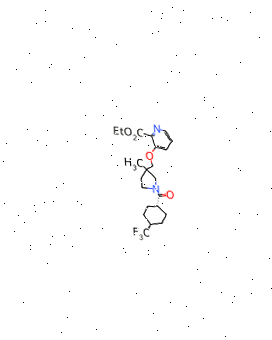 CCOC(=O)c1ncccc1OCC1(C)CCN(C(=O)[C@H]2CC[C@H](C(F)(F)F)CC2)C1